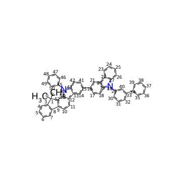 CC1(C)c2ccccc2-c2ccc3c4cc(-c5ccc6c(c5)c5ccccc5n6-c5cccc(-c6ccccc6)c5)ccc4n(-c4ccccc4)c3c21